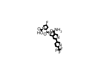 NC(=O)c1cnc(-c2ccc(C(F)(F)F)nc2)cc1CNC(=O)[C@H]1C[C@@H](F)CN1C(=O)O